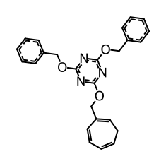 C1=CCC=C(COc2nc(OCc3ccccc3)nc(OCc3ccccc3)n2)C=C1